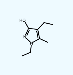 CCc1c(O)nn(CC)c1C